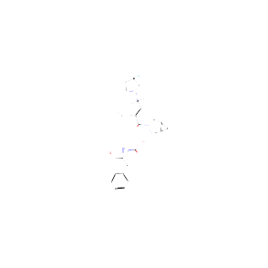 CC(C)(C=C(C#N)C(=O)N1C[C@@H]2C[C@@H]2[C@@H]1COC(=O)NC(Cc1ccc(F)cc1)B(O)O)N1CCC(F)(F)C1